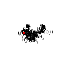 C[C@H](NC(=O)OCC[Si](C)(C)C)C(=O)N[C@@H](C)C(=O)N[C@@H](CC(N)=O)C(=O)N[C@@H](CCN(C(=O)CO)[C@@H](c1cc(-c2cc(F)ccc2F)cn1Cc1ccccc1)C(C)(C)C)C(=O)NCCNC(=O)[C@@H](CCC(=O)O)NC(=O)CN1C(=O)C=CC1=O